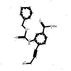 COC(=O)c1ccc(C#CCC(C)C)c(NC(=O)OCc2ccccc2)c1